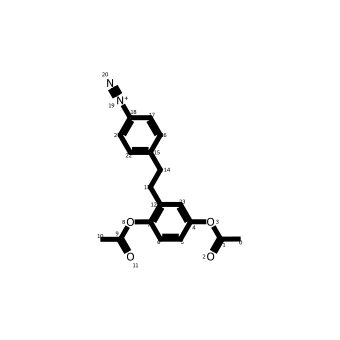 CC(=O)Oc1ccc(OC(C)=O)c(CCc2ccc([N+]#N)cc2)c1